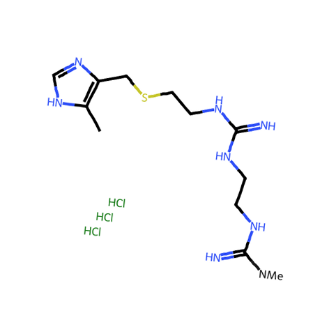 CNC(=N)NCCNC(=N)NCCSCc1nc[nH]c1C.Cl.Cl.Cl